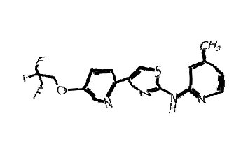 Cc1ccnc(Nc2nc(-c3ccc(OCC(F)(F)F)cn3)cs2)c1